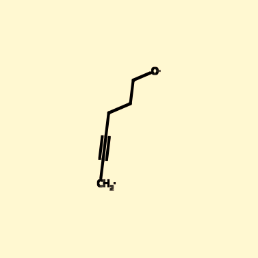 [CH2]C#CCCC[O]